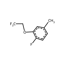 Cc1ccc(F)c(OCC(F)(F)F)c1